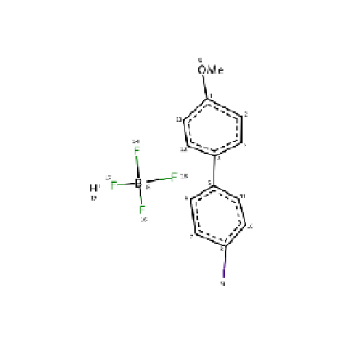 COc1ccc(-c2ccc(I)cc2)cc1.F[B-](F)(F)F.[H+]